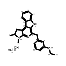 CC1Cc2c(nc(Cc3cccc(OCF)c3)c3[nH]c4ccccc4c23)N1C.Cl.Cl